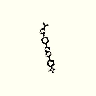 CC(C)c1noc(N2CCC(c3cn4nc(-c5ccc(S(C)(=O)=O)cc5)sc4n3)CC2)n1